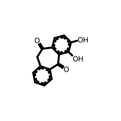 O=C1Cc2ccccc2C(=O)c2c1ccc(O)c2O